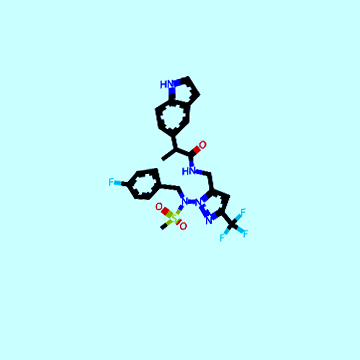 CC(C(=O)NCc1cc(C(F)(F)F)nn1N(Cc1ccc(F)cc1)S(C)(=O)=O)c1ccc2[nH]ccc2c1